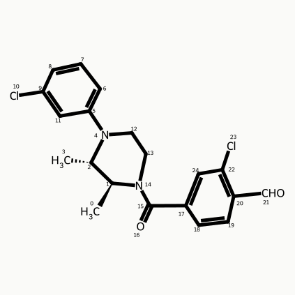 C[C@H]1[C@H](C)N(c2cccc(Cl)c2)CCN1C(=O)c1ccc(C=O)c(Cl)c1